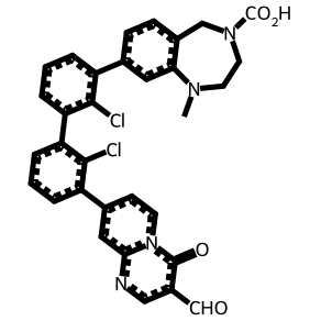 CN1CCN(C(=O)O)Cc2ccc(-c3cccc(-c4cccc(-c5ccn6c(=O)c(C=O)cnc6c5)c4Cl)c3Cl)cc21